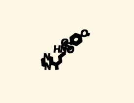 COc1ccc(S(=O)(=O)NCCCC(C)c2cnccn2)cc1